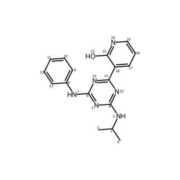 CC(C)Nc1nc(Nc2ccccc2)nc(-c2cccnc2O)n1